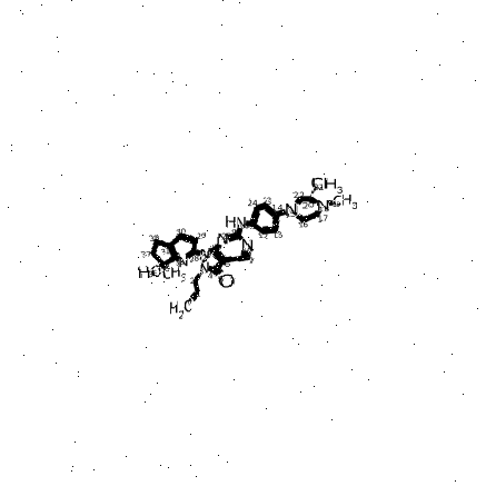 C=CCn1c(=O)c2cnc(Nc3ccc(N4CCN(C)[C@@H](C)C4)cc3)nc2n1-c1ccc2c(n1)[C@@](C)(O)CC2